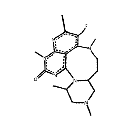 Cc1nc2c3c(nc(=O)n2C)N2C(C)CN(C)CC2CCN(C)c3c1F